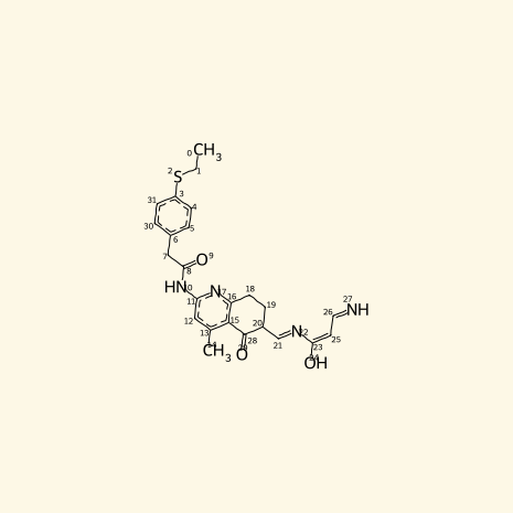 CCSc1ccc(CC(=O)Nc2cc(C)c3c(n2)CCC(/C=N/C(O)=C\C=N)C3=O)cc1